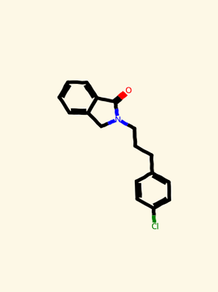 O=C1c2ccccc2CN1CCCc1ccc(Cl)cc1